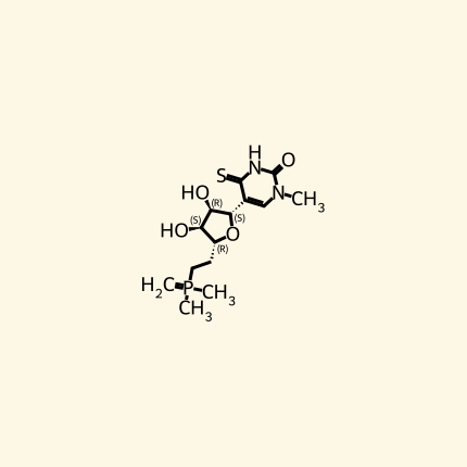 C=P(C)(C)CC[C@H]1O[C@@H](c2cn(C)c(=O)[nH]c2=S)[C@H](O)[C@@H]1O